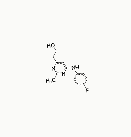 Cc1nc(CCO)cc(Nc2ccc(F)cc2)n1